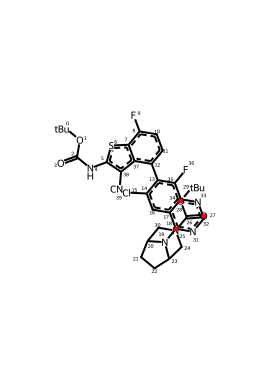 CC(C)(C)OC(=O)Nc1sc2c(F)ccc(-c3c(Cl)cc4c(N5C6CCC5CN(C(=O)OC(C)(C)C)C6)ncnc4c3F)c2c1C#N